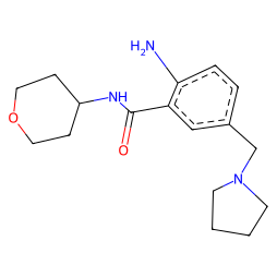 Nc1ccc(CN2CCCC2)cc1C(=O)NC1CCOCC1